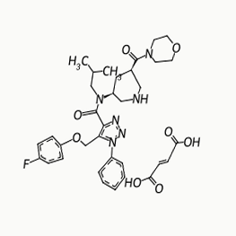 CC(C)CN(C(=O)c1nnn(-c2ccccc2)c1COc1ccc(F)cc1)[C@@H]1CNC[C@H](C(=O)N2CCOCC2)C1.O=C(O)/C=C/C(=O)O